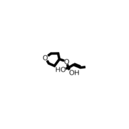 CC=CC(O)(O)OC1CCOCC1